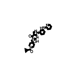 O=C(C1CC1)N1CCC(O)(Cn2cnc3c(cnn3-c3cccc(Nc4ccccn4)c3)c2=O)CC1